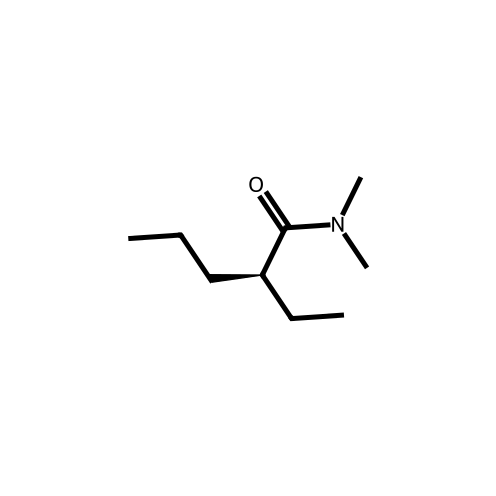 CCC[C@H](CC)C(=O)N(C)C